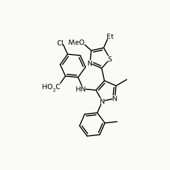 CCc1sc(-c2c(C)nn(-c3ccccc3C)c2Nc2ccc(Cl)cc2C(=O)O)nc1OC